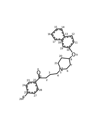 O=C(CCCN1CCC(Oc2ccc3ccccc3c2)CC1)c1ccc(F)cc1